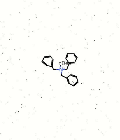 CCCCCCCCCC[N+](Cc1ccccc1)(Cc1ccccc1)Cc1ccccc1